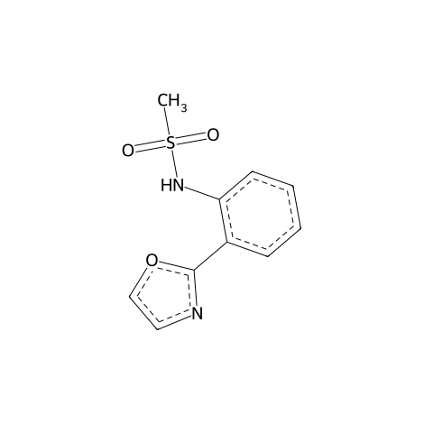 CS(=O)(=O)Nc1ccccc1-c1ncco1